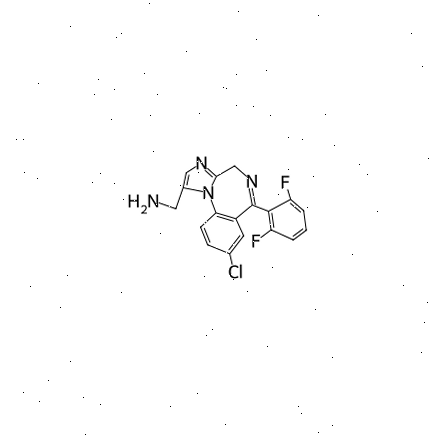 NCc1cnc2n1-c1ccc(Cl)cc1C(c1c(F)cccc1F)=NC2